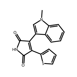 Cn1cc(C2=C(c3cccs3)C(=O)NC2=O)c2ccccc21